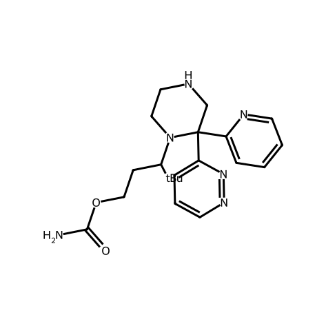 CC(C)(C)C(CCOC(N)=O)N1CCNCC1(c1ccccn1)c1cccnn1